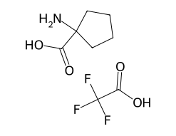 NC1(C(=O)O)CCCC1.O=C(O)C(F)(F)F